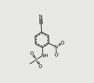 CS(=O)(=O)Nc1ccc(C#N)cc1[N+](=O)[O-]